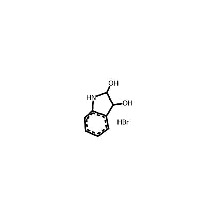 Br.OC1Nc2ccccc2C1O